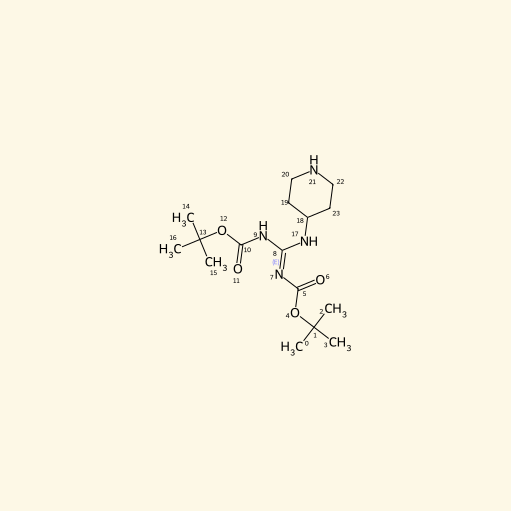 CC(C)(C)OC(=O)/N=C(/NC(=O)OC(C)(C)C)NC1CCNCC1